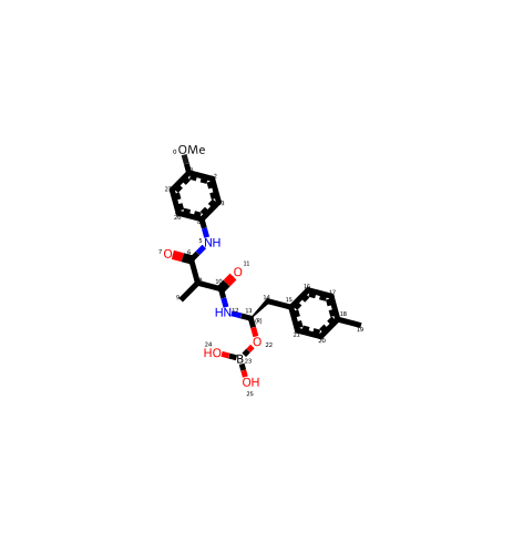 COc1ccc(NC(=O)C(C)C(=O)N[C@@H](Cc2ccc(C)cc2)OB(O)O)cc1